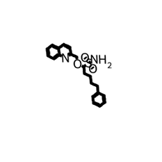 NS(=O)(=O)C(CCCCc1ccccc1)OCc1ccc2ccccc2n1